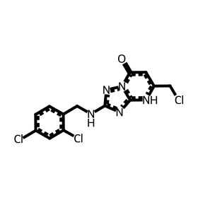 O=c1cc(CCl)[nH]c2nc(NCc3ccc(Cl)cc3Cl)nn12